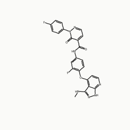 CNc1n[nH]c2nccc(Oc3ccc(NC(=O)c4ccnn(-c5ccc(F)cc5)c4=O)cc3F)c12